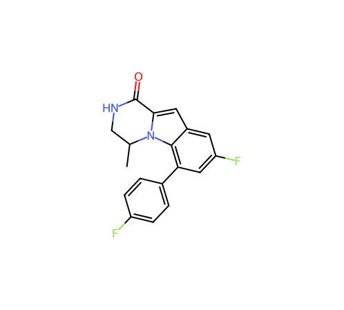 CC1CNC(=O)c2cc3cc(F)cc(-c4ccc(F)cc4)c3n21